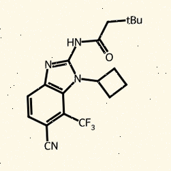 CC(C)(C)CC(=O)Nc1nc2ccc(C#N)c(C(F)(F)F)c2n1C1CCC1